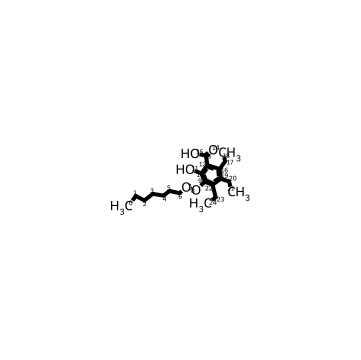 CCCCCCCOOc1c(O)c(C(=O)O)c(CC)c(CC)c1CC